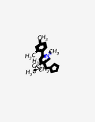 Cc1ccc(-c2cc([Si](C)(C)C)c(CC3CCCC3)c[n+]2C)c(C)c1